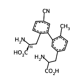 Cc1ccc(CC(N)C(=O)O)cc1-c1cc(C#N)ccc1C[C@H](N)C(=O)O